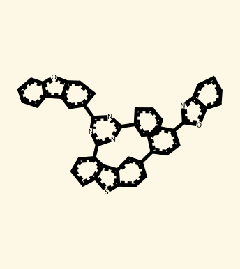 c1ccc(-c2nc(-c3ccc4oc5ccccc5c4c3)nc(-c3cccc4sc5ccc(-c6ccc(-c7nc8ccccc8o7)cc6)cc5c34)n2)cc1